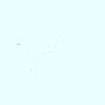 COC(=O)CCCOc1ccc(-c2ccc(C=Cc3nc(-c4ccc(Cl)cc4Cl)cn3CC(=O)NCc3ccc(OC(F)(F)F)cc3)cc2)cc1